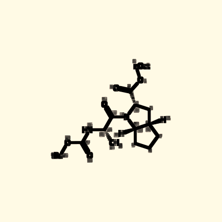 CCCCCCCCOC(=O)[C@@H]1C[C@@H]2CCC[C@@H]2N1C(=O)[C@H](C)NC(=O)OC(C)(C)C